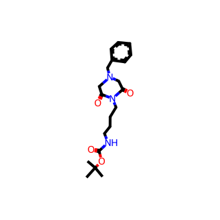 CC(C)(C)OC(=O)NCCCCN1C(=O)CN(Cc2ccccc2)CC1=O